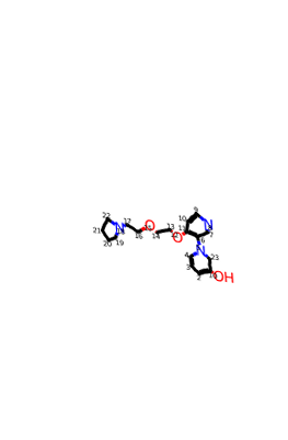 OC1=CC=CN(c2cnccc2OCCOCCN2CCCC2)C1